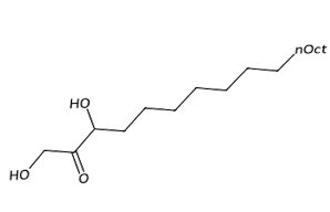 CCCCCCCCCCCCCCCC(O)C(=O)CO